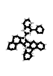 c1ccc(-c2nc(-n3c4ccc5ccccc5c4c4c3c3cc5ccccc5c5c6ccccc6n4c35)nc3cccnc23)cc1